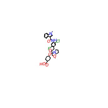 COCC(OC1CCC(C(=O)O)CC1)(C(=O)Cc1cc(Cl)c(NC(=O)c2cn(C)c3ccccc23)cc1F)N1CCCC1